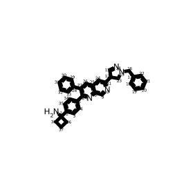 NC1(c2ccc(-c3nc4cnc(C5C=NN(Cc6ccccc6)C5)cc4cc3-c3ccccc3)cc2)CCC1